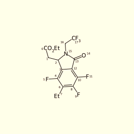 CCOC(=O)CC1c2c(F)c(CC)c(F)c(F)c2C(=O)N1CC(F)(F)F